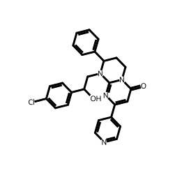 O=c1cc(-c2ccncc2)nc2n1CCC(c1ccccc1)N2CC(O)c1ccc(Cl)cc1